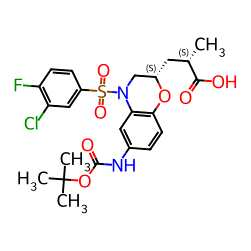 C[C@@H](C[C@H]1CN(S(=O)(=O)c2ccc(F)c(Cl)c2)c2cc(NC(=O)OC(C)(C)C)ccc2O1)C(=O)O